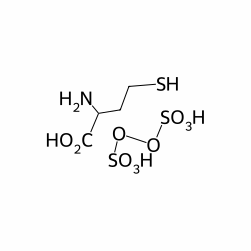 NC(CCS)C(=O)O.O=S(=O)(O)OOS(=O)(=O)O